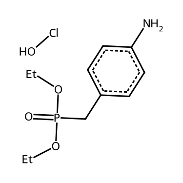 CCOP(=O)(Cc1ccc(N)cc1)OCC.OCl